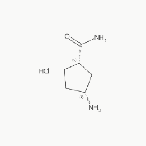 Cl.NC(=O)[C@H]1CC[C@@H](N)C1